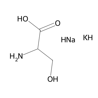 NC(CO)C(=O)O.[KH].[NaH]